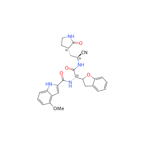 COc1cccc2[nH]c(C(=O)N[C@H](C(=O)N[C@H](C#N)C[C@@H]3CCNC3=O)C3Cc4ccccc4O3)cc12